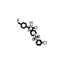 O=C1NC(C2CCC(CF)CC2)=NC12CCN(S(=O)(=O)c1cccc(Cl)c1)CC2